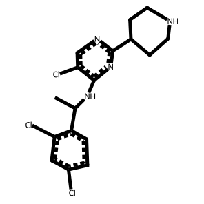 CC(Nc1nc(C2CCNCC2)ncc1Cl)c1ccc(Cl)cc1Cl